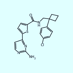 Nc1nccc(-c2ccc(C(=O)NCC3(c4ccc(Cl)cc4)CCC3)s2)n1